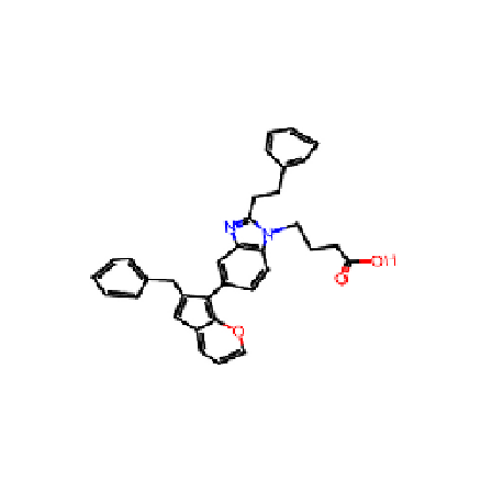 O=C(O)CCCn1c(CCc2ccccc2)nc2cc(-c3c(Cc4ccccc4)cc4cccoc3-4)ccc21